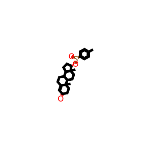 Cc1ccc(S(=O)OC2CCC3C4CCC5=CC(=O)CCC5(C)C4CCC23C)cc1